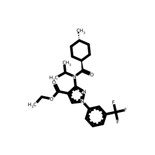 CCOC(=O)c1cn(-c2cccc(C(F)(F)F)c2)nc1N(C(=O)[C@H]1CC[C@H](C)CC1)C(C)C